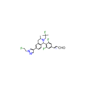 CC1Cc2cc(-c3cnn(CCF)c3)ccc2C(c2c(F)cc(/C=C/C=O)cc2F)N1CC(C)(C)F